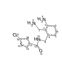 NCc1c(N)cccc1CNC(=O)c1csc(Cl)c1